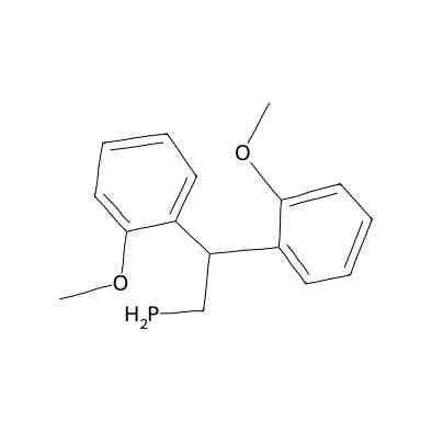 COc1ccccc1C(CP)c1ccccc1OC